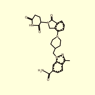 Cc1nn(CC2CCN(c3cccc4c3CN(C3CCC(=O)NC3=O)C4=O)CC2)c2cc(C(N)=O)ccc12